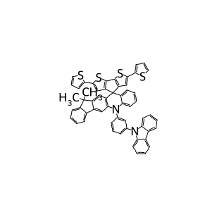 CC1(C)c2ccccc2-c2cc3c(cc21)C1(c2ccccc2N3c2cccc(-n3c4ccccc4c4ccccc43)c2)c2cc(-c3cccs3)sc2-c2sc(-c3cccs3)cc21